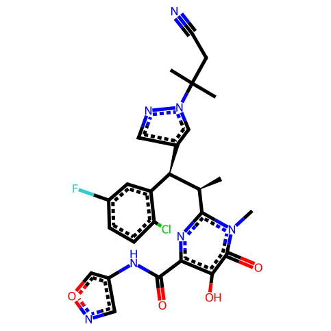 C[C@@H](c1nc(C(=O)Nc2cnoc2)c(O)c(=O)n1C)[C@H](c1cnn(C(C)(C)CC#N)c1)c1cc(F)ccc1Cl